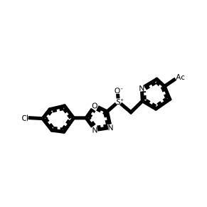 CC(=O)c1ccc(C[S+]([O-])c2nnc(-c3ccc(Cl)cc3)o2)nc1